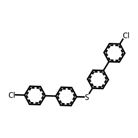 Clc1ccc(-c2ccc(Sc3ccc(-c4ccc(Cl)cc4)cc3)cc2)cc1